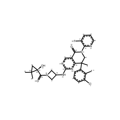 CC1(c2cccc(Cl)c2F)CN(c2ncccc2F)C(=O)c2cnc(NC3CN(C(=O)[C@@]4(O)CC4(C)C)C3)nc21